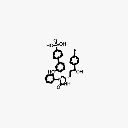 O=C1N[C@@H](CC[C@H](O)c2ccc(F)cc2)[C@@H](c2ccc(-c3ccc(P(=O)(O)O)cc3)cc2O)N1c1ccccc1